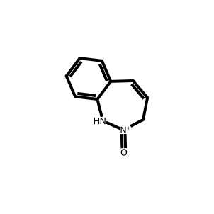 O=[N+]1CC=Cc2ccccc2N1